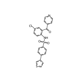 O=C(c1ccncc1)c1cc(Cl)ccc1NS(=O)(=O)c1ccc(-c2ccsc2)cc1